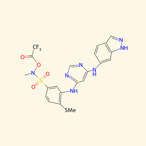 CSc1ccc(S(=O)(=O)N(C)OC(=O)C(F)(F)F)cc1Nc1cc(Nc2ccc3cn[nH]c3c2)ncn1